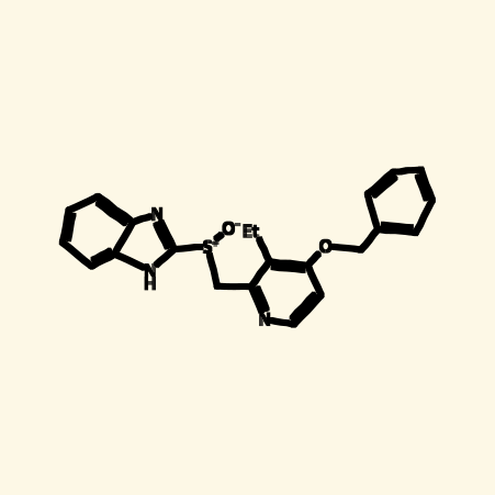 CCc1c(OCc2ccccc2)ccnc1C[S+]([O-])c1nc2ccccc2[nH]1